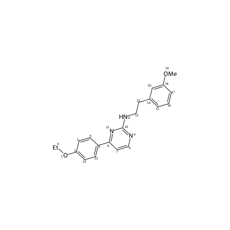 CCOc1ccc(-c2ccnc(NCCc3cccc(OC)c3)n2)cc1